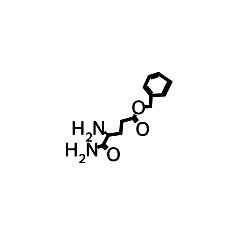 NC(=O)[C@@H](N)CCC(=O)OCc1ccccc1